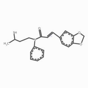 CC(S)CCN(C(=O)/C=C/c1ccc2c(c1)OCO2)c1ccccc1